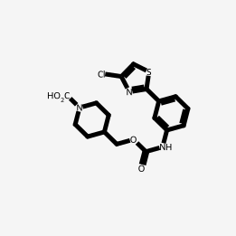 O=C(Nc1cccc(-c2nc(Cl)cs2)c1)OCC1CCN(C(=O)O)CC1